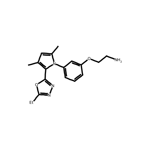 CCc1nnc(-c2c(C)[c]c(C)n2-c2cccc(OCCN)c2)o1